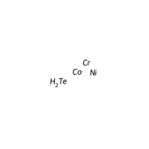 [Co].[Cr].[Ni].[TeH2]